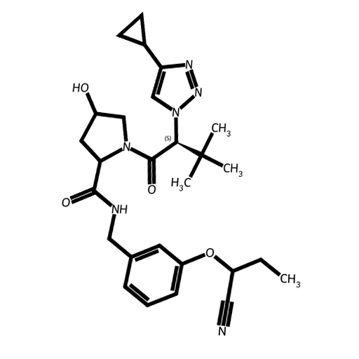 CCC(C#N)Oc1cccc(CNC(=O)C2CC(O)CN2C(=O)[C@@H](n2cc(C3CC3)nn2)C(C)(C)C)c1